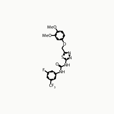 COc1ccc(OCc2nnc(NC(=O)Nc3cc(F)cc(C(F)(F)F)c3)s2)cc1OC